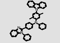 Cc1cc(-n2c3ccccc3c3ccccc32)c(C)cc1N(c1ccccc1)c1ccc(-c2nc3ccccc3n2-c2ccccc2)cc1